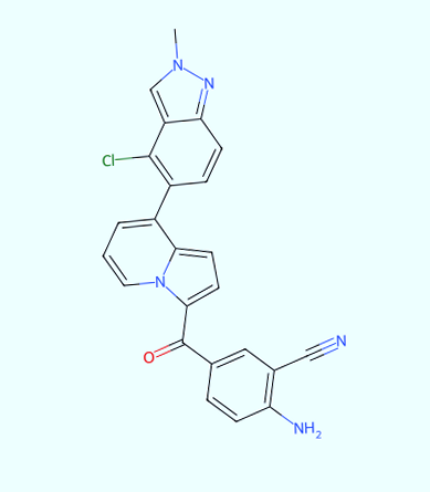 Cn1cc2c(Cl)c(-c3cccn4c(C(=O)c5ccc(N)c(C#N)c5)ccc34)ccc2n1